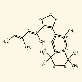 C/C=C(\C)C=C(O)C1=C(c2cc3c(cc2C)C(C)(C)CCC3(C)C)CCC1